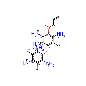 C=CCOc1c(N)c(C)c(Oc2c(N)c(C)c(N)c(C)c2N)c(N)c1N